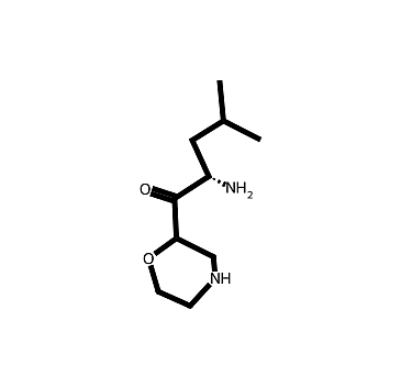 CC(C)C[C@H](N)C(=O)C1CNCCO1